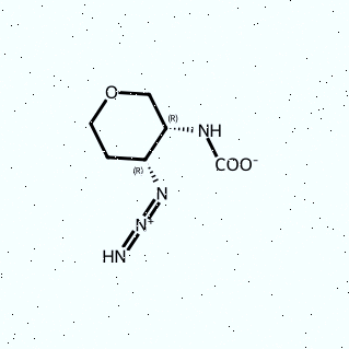 N=[N+]=N[C@@H]1CCOC[C@@H]1NC(=O)[O-]